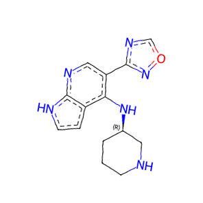 c1cc2c(N[C@@H]3CCCNC3)c(-c3ncon3)cnc2[nH]1